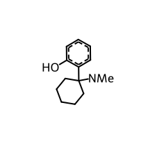 CNC1(c2ccccc2O)CCCCC1